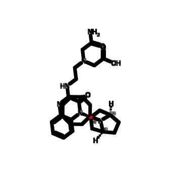 NC(=O)CN(CCNc1nc2ccccc2n([C@H]2C[C@H]3CC[C@@H](C2)N3C2CCCCCCC2)c1=O)CC(=O)O